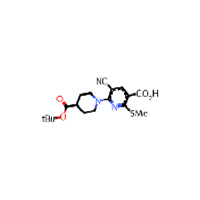 CSc1nc(N2CCC(C(=O)OC(C)(C)C)CC2)c(C#N)cc1C(=O)O